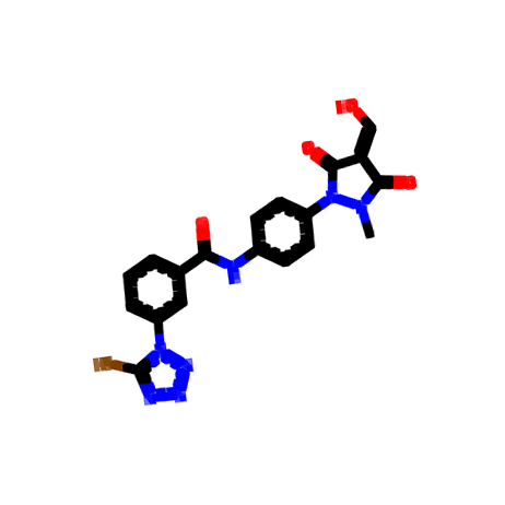 CN1C(=O)/C(=C/O)C(=O)N1c1ccc(NC(=O)c2cccc(-n3nnnc3S)c2)cc1